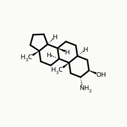 C[C@@]12CCC[C@H]1[C@@H]1CC[C@H]3C[C@@H](O)[C@H](N)C[C@]3(C)[C@H]1CC2